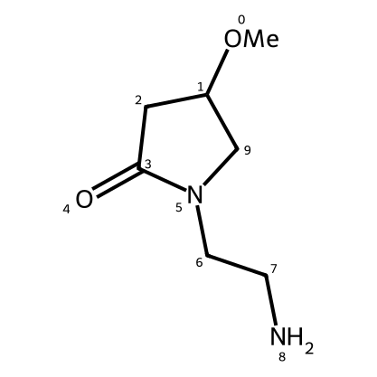 COC1CC(=O)N(CCN)C1